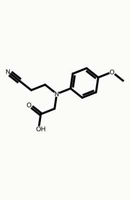 COc1ccc(N(CCC#N)CC(=O)O)cc1